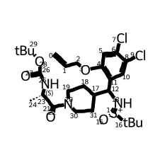 C=CCOc1cc(Cl)c(Cl)cc1C(N[S+]([O-])C(C)(C)C)C1CCN(C(=O)[C@H](C)NC(=O)OC(C)(C)C)CC1